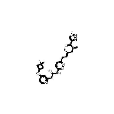 CN(C[C@H](F)CCc1ccc(NC(=O)Cc2cc(OC3CC(F)(F)C3)ccn2)nn1)C(=O)c1c[nH]nn1